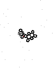 C[Si]1(C)Sc2ccccc2[Si](C)(c2ccc3c(c2)c2cccc4c2-c2c(cccc2c2ccccc23)c2ccccc2c2ccccc42)Oc2ccccc21